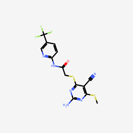 CSc1nc(N)nc(SCC(=O)Nc2ccc(C(F)(F)F)cn2)c1C#N